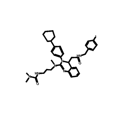 CN(C)C(=O)NCCCN(C)C1=Nc2ccccc2C(CC(=O)NCc2ccc(I)cc2)N1c1ccc(C2CCCCC2)cc1